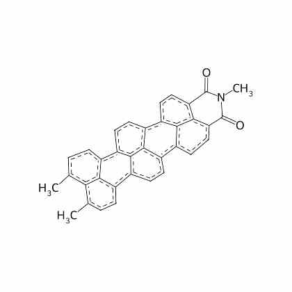 Cc1ccc2c3ccc4c5ccc6c7c(ccc(c8ccc(c9ccc(C)c1c29)c3c48)c75)C(=O)N(C)C6=O